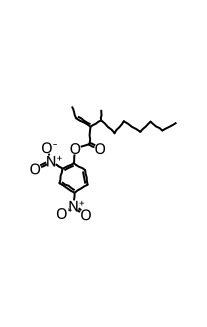 CC=C(C(=O)Oc1ccc([N+](=O)[O-])cc1[N+](=O)[O-])C(C)CCCCCC